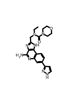 CCN(Cc1nc2c(N)nc3cc(-c4cc[nH]n4)ccc3c2[nH]1)C(=O)N1CCOCC1